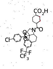 O=C(O)C12CCC(C(=O)N3CCC4(S(=O)(=O)c5ccc(Cl)cc5)c5ccc(C(F)(F)C(F)(F)F)cc5CCC34)(CC1)CC2